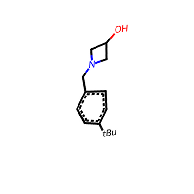 CC(C)(C)c1ccc(CN2CC(O)C2)cc1